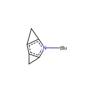 CC(C)(C)n1c2c(c3c1C3)C2